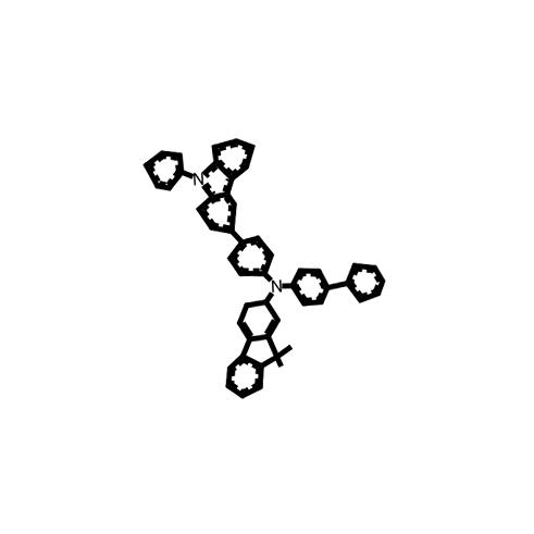 CC1(C)C2=CC(N(c3ccc(-c4ccccc4)cc3)c3ccc(-c4ccc5c(c4)c4ccccc4n5-c4ccccc4)cc3)CC=C2c2ccccc21